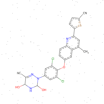 Cc1cc(-c2ccc(C#N)s2)nc2ccc(Oc3c(Cl)cc(N4N=C(C#N)C(O)NC4O)cc3Cl)cc12